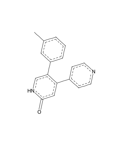 Cc1cccc(-c2c[nH]c(=O)cc2-c2ccncc2)c1